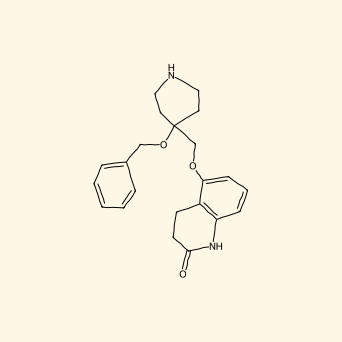 O=C1CCc2c(cccc2OCC2(OCc3ccccc3)CCNCC2)N1